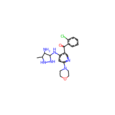 CC1NNC(Nc2cc(N3CCOCC3)ncc2C(=O)c2ccccc2Cl)C1N